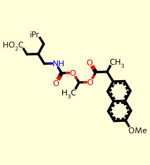 COc1ccc2cc(C(C)C(=O)OC(C)OC(=O)NCC(CC(=O)O)CC(C)C)ccc2c1